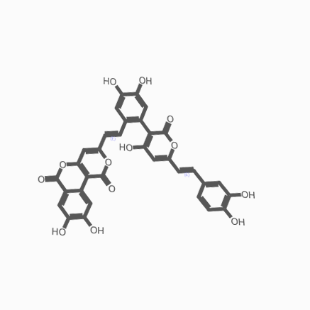 O=c1oc(/C=C/c2ccc(O)c(O)c2)cc(O)c1-c1cc(O)c(O)cc1/C=C/c1cc2oc(=O)c3cc(O)c(O)cc3c2c(=O)o1